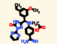 C=Cc1cc(OC)cc(C(Nc2ccc(C(=N)N)cc2)c2nn(-c3ncccn3)c(=O)[nH]2)c1.CC(=O)O